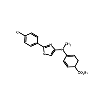 CCOC(=O)C1C=CC(N(C)c2csc(-c3ccc(Cl)cc3)n2)=CC1